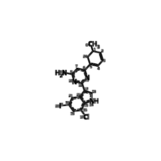 CC1C=CC=C(c2cc(N)nc(-c3c[nH]c4c(Cl)cc(F)cc34)n2)C1